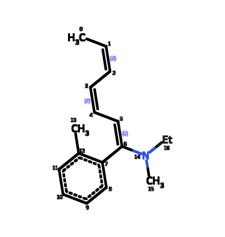 C\C=C/C=C\C=C(/c1ccccc1C)N(C)CC